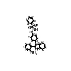 Nc1ncccc1-c1nc2cccnc2n1-c1ccc(CNS(=O)(=O)c2cccnc2)cc1